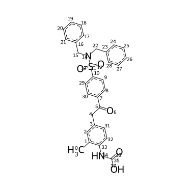 Cc1cc(CC(=O)c2ccc(S(=O)(=O)N(Cc3ccccc3)Cc3ccccc3)cc2)ccc1NC(=O)O